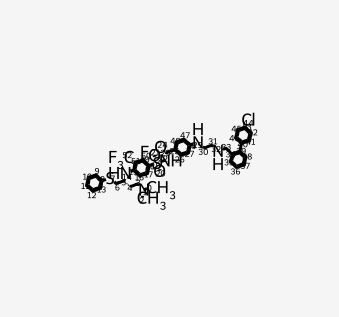 CN(C)CC[C@H](CSc1ccccc1)Nc1ccc(S(=O)(=O)NC(=O)c2ccc(NCCNCc3ccccc3-c3ccc(Cl)cc3)cc2)c(F)c1C(F)(F)F